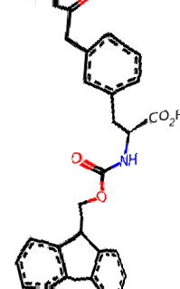 COC(=O)Cc1cccc(C[C@H](NC(=O)OCC2c3ccccc3-c3ccccc32)C(=O)O)c1